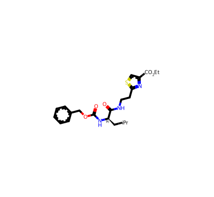 CCOC(=O)c1csc(CCNC(=O)[C@@H](CC(C)C)NC(=O)OCc2ccccc2)n1